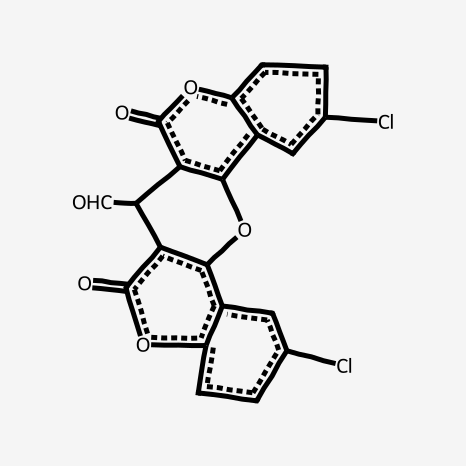 O=CC1c2c(c3cc(Cl)ccc3oc2=O)Oc2c1c(=O)oc1ccc(Cl)cc21